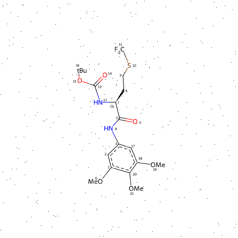 COc1cc(NC(=O)[C@H](CCSC(F)(F)F)NC(=O)OC(C)(C)C)cc(OC)c1OC